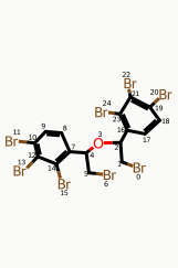 BrCC(OC(CBr)c1ccc(Br)c(Br)c1Br)c1ccc(Br)c(Br)c1Br